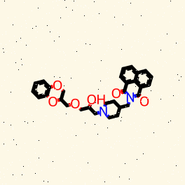 O=C1c2cccc3cccc(c23)C(=O)N1CC1CCN(CC(O)COCC2COc3ccccc3O2)CC1